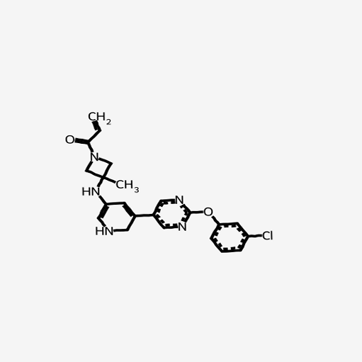 C=CC(=O)N1CC(C)(NC2=CNCC(c3cnc(Oc4cccc(Cl)c4)nc3)=C2)C1